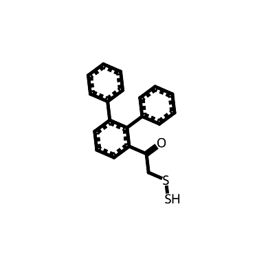 O=C(CSS)c1cccc(-c2ccccc2)c1-c1ccccc1